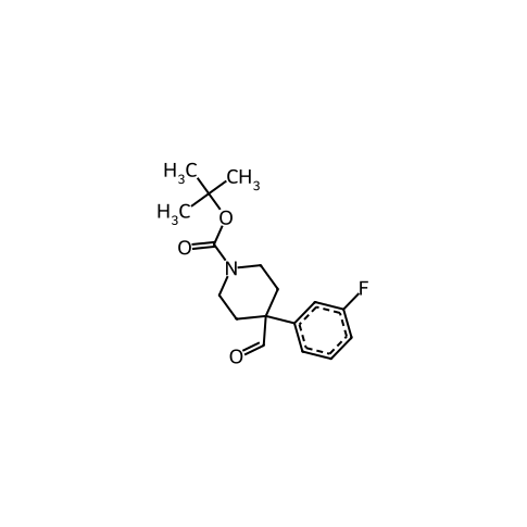 CC(C)(C)OC(=O)N1CCC(C=O)(c2cccc(F)c2)CC1